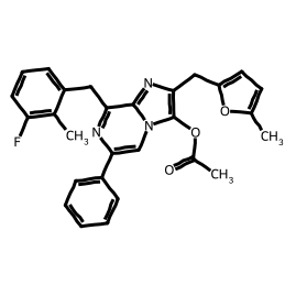 CC(=O)Oc1c(Cc2ccc(C)o2)nc2c(Cc3cccc(F)c3C)nc(-c3ccccc3)cn12